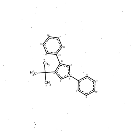 CC(C)(C)c1cn(-c2ccccc2)cc1-c1ccccc1